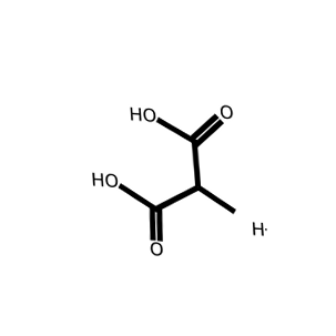 CC(C(=O)O)C(=O)O.[H]